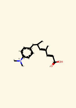 CC(/C=C/C(=O)O)=C\C(C)Cc1ccc(N(C)C)cc1